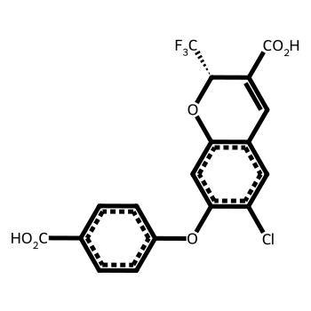 O=C(O)C1=Cc2cc(Cl)c(Oc3ccc(C(=O)O)cc3)cc2O[C@@H]1C(F)(F)F